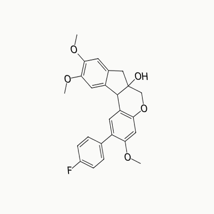 COc1cc2c(cc1OC)C1c3cc(-c4ccc(F)cc4)c(OC)cc3OCC1(O)C2